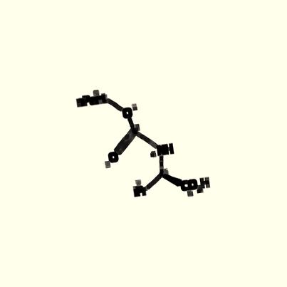 CCCCCOC(=O)N[C@@H](C(=O)O)C(C)C